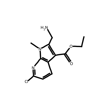 CCOC(=O)c1c(CN)n(C)c2nc(Cl)ccc12